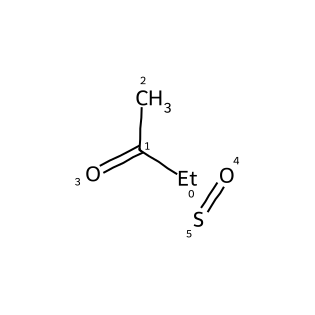 CCC(C)=O.O=S